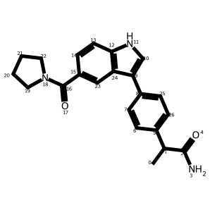 CC(C(N)=O)c1ccc(-c2c[nH]c3ccc(C(=O)N4CCCC4)cc23)cc1